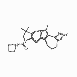 CC1(C)CN(C(=O)N2CCCC2)c2cc3c4c([nH]c3cc21)-c1n[nH]cc1CCC4